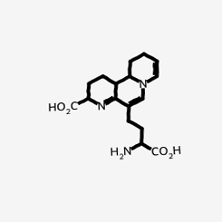 NC(CCC1=CN2C=CCCC2C2CCC(C(=O)O)N=C12)C(=O)O